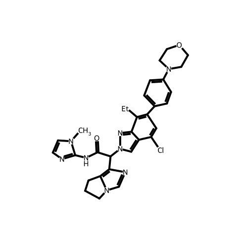 CCc1c(-c2ccc(N3CCOCC3)cc2)cc(Cl)c2cn(C(C(=O)Nc3nccn3C)c3ncn4c3CCC4)nc12